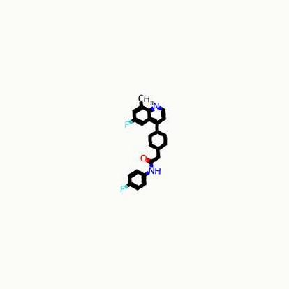 Cc1cc(F)cc2c(C3CCC(CC(=O)Nc4ccc(F)cc4)CC3)ccnc12